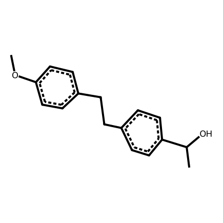 COc1ccc(CCc2ccc(C(C)O)cc2)cc1